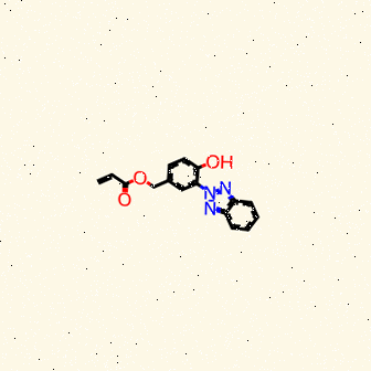 C=CC(=O)OCc1ccc(O)c(-n2nc3ccccc3n2)c1